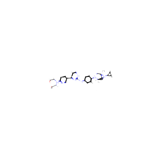 Cc1cc(Nc2nccc(-c3ccc(N4CCOCC4)nc3)n2)ccc1N1C[C@@H]2C[C@@]1(C)CN2C1CC1